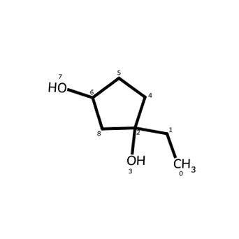 CCC1(O)CCC(O)C1